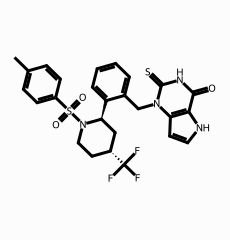 Cc1ccc(S(=O)(=O)N2CC[C@@H](C(F)(F)F)C[C@@H]2c2ccccc2Cn2c(=S)[nH]c(=O)c3[nH]ccc32)cc1